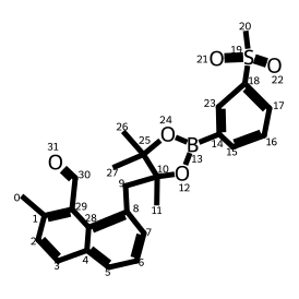 Cc1ccc2cccc(CC3(C)OB(c4cccc(S(C)(=O)=O)c4)OC3(C)C)c2c1C=O